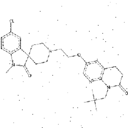 CN1C(=O)C2(CCN(CCOc3cnc4c(c3)CCC(=O)N4CC(C)(C)C)CC2)c2cc(Cl)ccc21